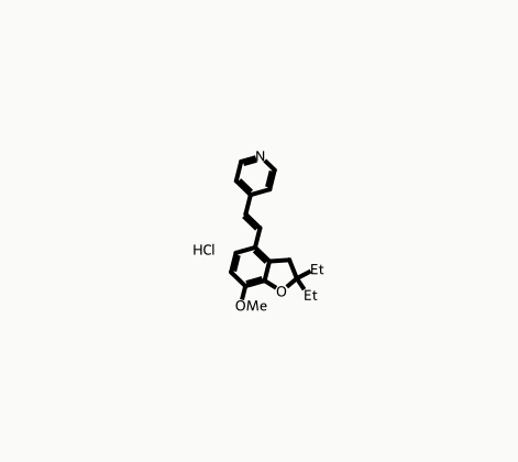 CCC1(CC)Cc2c(C=Cc3ccncc3)ccc(OC)c2O1.Cl